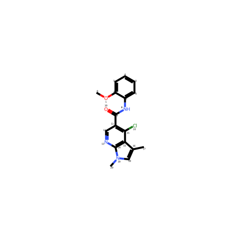 COc1ccccc1NC(=O)c1cnc2c(c(C)cn2C)c1Cl